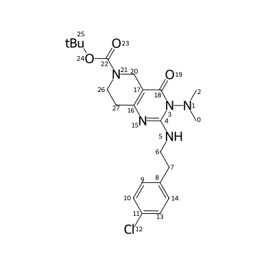 CN(C)n1c(NCCc2ccc(Cl)cc2)nc2c(c1=O)CN(C(=O)OC(C)(C)C)CC2